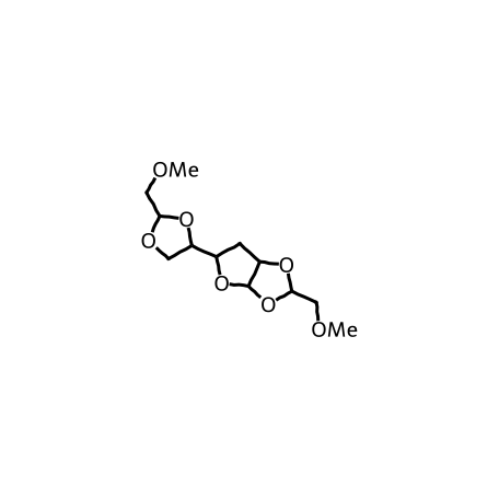 COCC1OCC(C2CC3OC(COC)OC3O2)O1